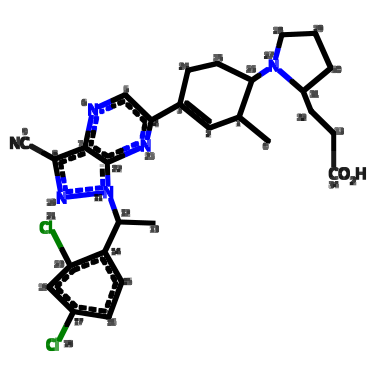 CC1C=C(c2cnc3c(C#N)nn(C(C)c4ccc(Cl)cc4Cl)c3n2)CCC1N1CCCC1CCC(=O)O